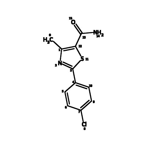 Cc1nc(-c2ccc(Cl)cc2)sc1C(N)=O